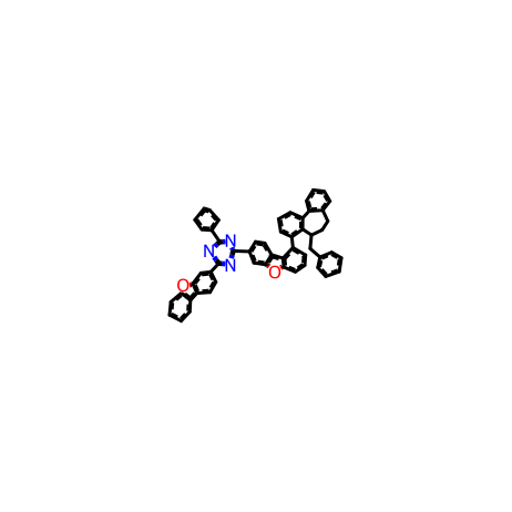 c1ccc(CC2CCc3ccccc3-c3cccc(-c4cccc5oc6cc(-c7nc(-c8ccccc8)nc(-c8ccc9c(c8)oc8ccccc89)n7)ccc6c45)c32)cc1